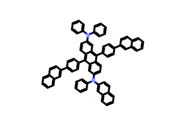 c1ccc(N(c2ccccc2)c2ccc3c(-c4ccc(-c5ccc6ccccc6c5)cc4)c4cc(N(c5ccccc5)c5ccc6ccccc6c5)ccc4c(-c4ccc(-c5ccc6ccccc6c5)cc4)c3c2)cc1